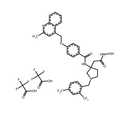 Cc1cc(COc2ccc(C(=O)NC3(CC(=O)NO)CCN(Cc4ccc(C(F)(F)F)cc4C(F)(F)F)C3)cc2)c2ccccc2n1.O=C(O)C(F)(F)F.O=C(O)C(F)(F)F